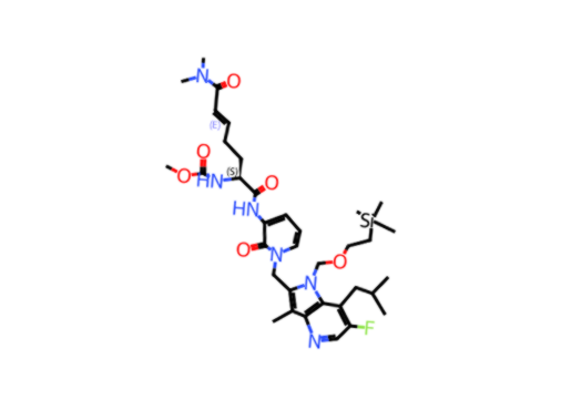 COC(=O)N[C@@H](CC/C=C/C(=O)N(C)C)C(=O)Nc1cccn(Cc2c(C)c3ncc(F)c(CC(C)C)c3n2COCC[Si](C)(C)C)c1=O